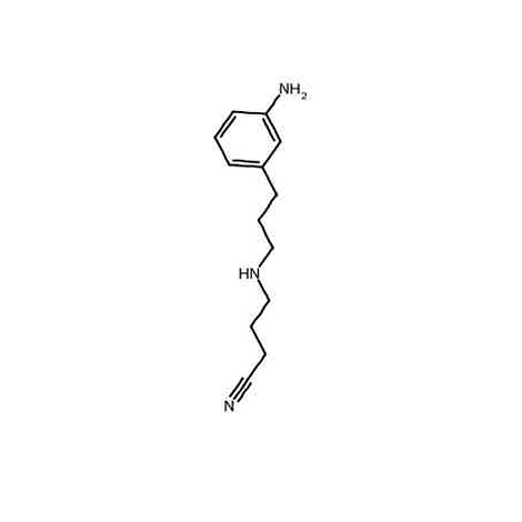 N#CCCCNCCCc1cccc(N)c1